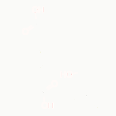 O=C(O)c1ccccc1SSc1ccccc1C(=O)O.Oc1ccccc1C(=S)S